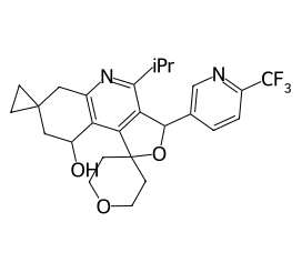 CC(C)c1nc2c(c3c1C(c1ccc(C(F)(F)F)nc1)OC31CCOCC1)C(O)CC1(CC1)C2